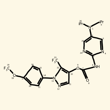 CC(C)N(c1cnc(NC(=O)Oc2cnn(-c3ccc(OC(F)(F)F)cc3)c2C(F)(F)F)nc1)C(C)C